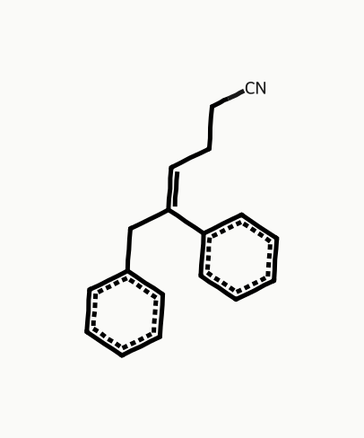 N#CCC/C=C(/Cc1ccccc1)c1ccccc1